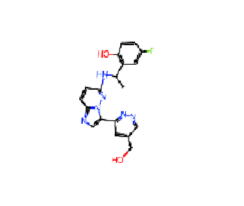 C[C@@H](Nc1ccc2ncc(-c3cc(CO)cnn3)n2n1)c1cc(F)ccc1O